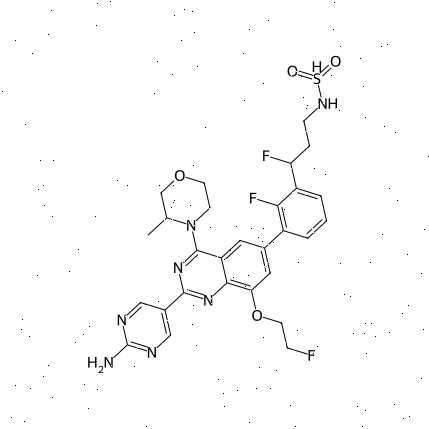 CC1COCCN1c1nc(-c2cnc(N)nc2)nc2c(OCCF)cc(-c3cccc(C(F)CCN[SH](=O)=O)c3F)cc12